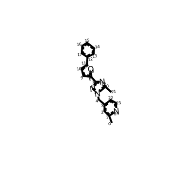 Cc1cc(Cn2nc(-c3ccc(-c4ccccc4)o3)nc2C)ccn1